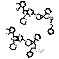 O=C(NCC1(c2ncccn2)C2CCN(c3cnc4c(-c5cccc(Cl)c5Cl)nn(C5CCCCO5)c4n3)CC21)OCc1ccccc1.O=C(O)N(Cc1ccccc1)CC1(c2ncccn2)C2CCN(c3cnc4c(-c5cccc(Cl)c5Cl)nn(C5CCCCO5)c4n3)CC21